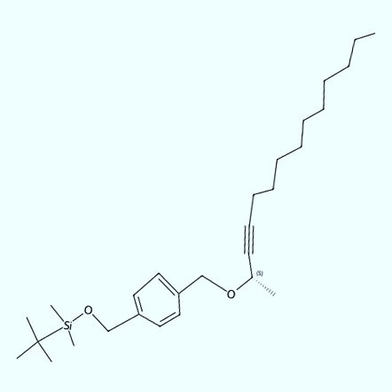 CCCCCCCCCCC#C[C@H](C)OCc1ccc(CO[Si](C)(C)C(C)(C)C)cc1